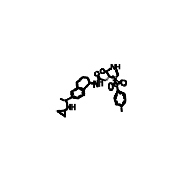 Cc1ccc(S(=O)(=O)N2C=CNC(=O)[C@H]2CC(=O)N[C@@H]2CCCc3cc([C@H](C)NC4CC4)ccc32)cc1